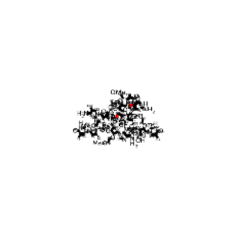 COCCO[C@@H]1[C@H](OP(O)(=S)OC[C@H]2O[C@@H](n3cnc4c(N)ncnc43)[C@H](OCCOC)[C@@H]2OP(O)(=S)OC[C@H]2O[C@@H](n3cc(C)c(=O)[nH]c3=O)C[C@@H]2C)[C@@H](COP(O)(=S)O[C@H]2[C@@H](OCCOC)[C@H](n3cc(C)c(=O)[nH]c3=O)O[C@@H]2COP(O)(=S)O[C@H]2[C@@H](OCCOC)[C@H](n3cnc4c(=O)[nH]c(N)nc43)O[C@@H]2COP(O)(=S)O[C@H]2[C@@H](OCCOC)[C@H](n3cc(C)c(=O)[nH]c3=O)O[C@@H]2CO)O[C@H]1n1cc(C)c(N)nc1=O